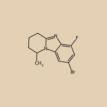 CC1CCCc2nc3c(F)cc(Br)cc3n21